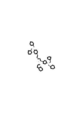 C(=CC1C=C(c2ccc(N(Cc3ccccc3)Cc3ccccc3)cc2)N(c2ccc3ccccc3n2)N1)c1ccc(N(Cc2ccccc2)Cc2ccccc2)cc1